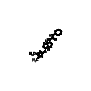 Cc1nc(S[C@H]2CO[C@H]3[C@@H]2OC[C@@H]3NC(=O)NC2CCCCC2)sc1C